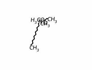 CCCCCCCCCCCC[N+](C)(C)OC(=O)CC